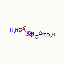 Nc1ccc(C(=O)NCC(=O)Nc2nc(-c3cccc(-c4cnn(CC(=O)O)c4)c3)cs2)cc1